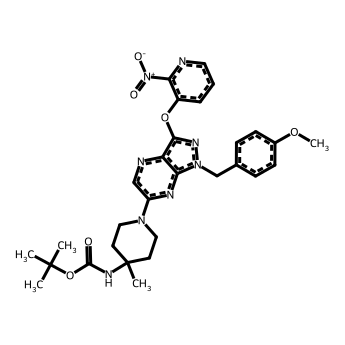 COc1ccc(Cn2nc(Oc3cccnc3[N+](=O)[O-])c3ncc(N4CCC(C)(NC(=O)OC(C)(C)C)CC4)nc32)cc1